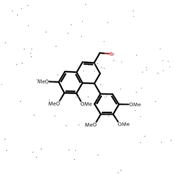 COc1cc(C2CC(CBr)=Cc3cc(OC)c(OC)c(OC)c32)cc(OC)c1OC